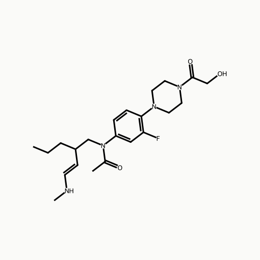 CCCC(/C=C/NC)CN(C(C)=O)c1ccc(N2CCN(C(=O)CO)CC2)c(F)c1